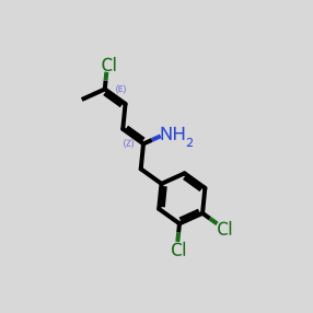 C/C(Cl)=C\C=C(/N)Cc1ccc(Cl)c(Cl)c1